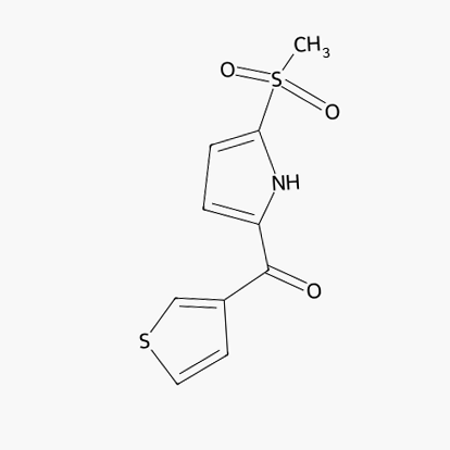 CS(=O)(=O)c1ccc(C(=O)c2ccsc2)[nH]1